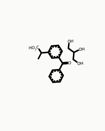 CC(C(=O)O)c1cccc(C(=O)c2ccccc2)c1.OCC(O)CO